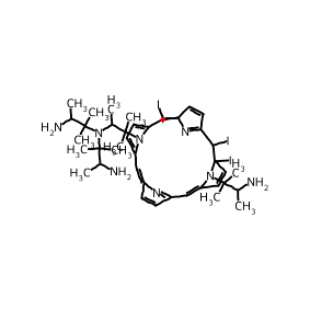 CC(N)C(C)(C)N(C(C)C(C)(C)n1c2ccc1C(I)C1(I)C=CC(=N1)C(I)C1(I)C=CC(=CC3=NC(=C2)C=C3)N1C(C)(C)C(C)N)C(C)(C)C(C)N